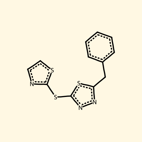 c1ccc(Cc2nnc(Sc3nccs3)s2)cc1